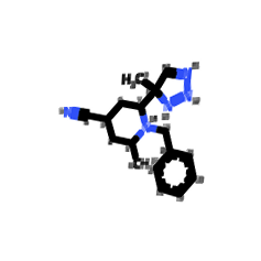 CC1CC(C#N)CC(C2(C)C=NN=N2)N1Cc1ccccc1